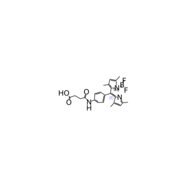 CC1=CC(C)=N/C1=C(\C1=C(C)C=C(C)[N@@+]1(C)B(F)F)c1ccc(NC(=O)CCC(=O)O)cc1